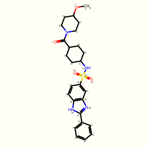 COC1CCN(C(=O)C2CCC(NS(=O)(=O)c3ccc4[nH]c(-c5ccccc5)nc4c3)CC2)CC1